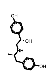 C[C@H](Cc1ccc(O)cc1)NC[C@@H](O)c1c[c]c(O)cc1